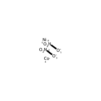 O=[N+]([O-])[O-].O=[N+]([O-])[O-].[Co].[Ni]